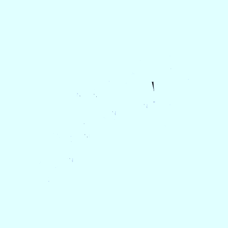 Fc1ccc(F)c([C@H]2CCCN2c2ccn3ncc(NC(=S)NC4CC4)c3n2)c1